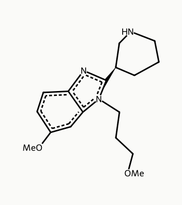 COCCCn1c([C@@H]2CCCNC2)nc2ccc(OC)cc21